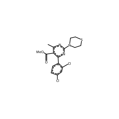 COC(=O)c1c(C)nc(N2CCSCC2)nc1-c1ccc(Cl)cc1Cl